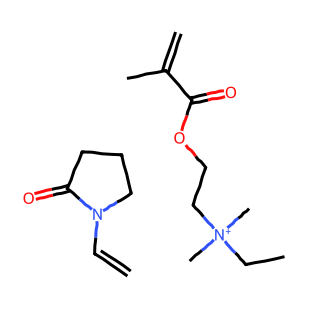 C=C(C)C(=O)OCC[N+](C)(C)CC.C=CN1CCCC1=O